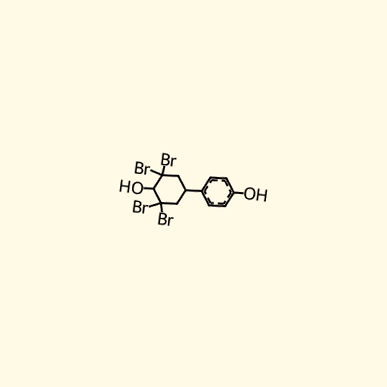 Oc1ccc(C2CC(Br)(Br)C(O)C(Br)(Br)C2)cc1